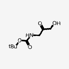 CC(C)(C)OC(=O)NCC(=O)CO